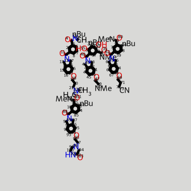 CCCCN(C)C(=O)c1cccc(C(=O)N2Cc3ccc(OCCCN(C)C)cc3C2)c1.CCCCc1c(O)c(C(=O)NC)cc(C(=O)N2Cc3ccc(OCCNC)cc3C2)c1O.CCCCc1ccc(C(=O)N2Cc3ccc(OCCCC#N)cc3C2)cc1C(=O)NC.CCCCc1ccc(C(=O)N2Cc3ccc(OCCN4CCNC(=O)C4)cc3C2)cc1C(=O)NC